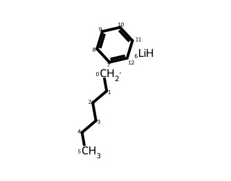 [CH2]CCCCC.[LiH].c1ccccc1